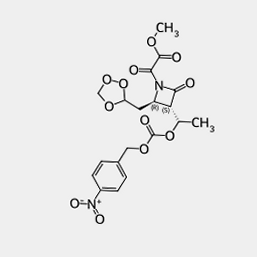 COC(=O)C(=O)N1C(=O)[C@H](C(C)OC(=O)OCc2ccc([N+](=O)[O-])cc2)[C@H]1CC1OCOO1